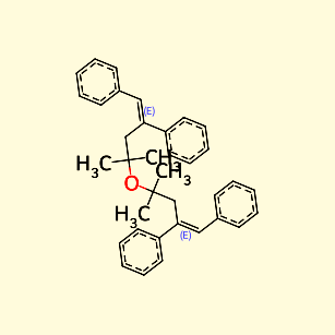 CC(C)(C/C(=C\c1ccccc1)c1ccccc1)OC(C)(C)C/C(=C\c1ccccc1)c1ccccc1